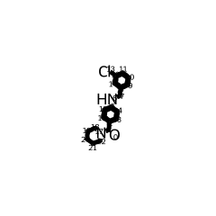 O=C(c1ccc(NCc2cccc(Cl)c2)cc1)N1CCCCC1